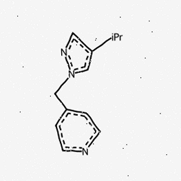 CC(C)c1cnn(Cc2ccncc2)c1